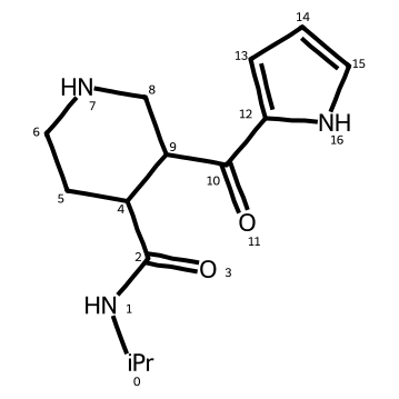 CC(C)NC(=O)C1CCNCC1C(=O)c1ccc[nH]1